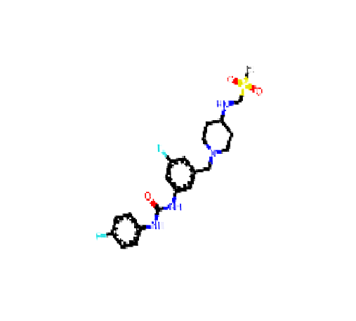 CCS(=O)(=O)CNC1CCN(Cc2cc(F)cc(NC(=O)Nc3ccc(F)cc3)c2)CC1